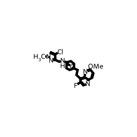 COc1ccc2ncc(F)c(CCC34CCC(NCc5nn(C)cc5Cl)(CC3)CO4)c2n1